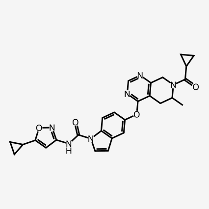 CC1Cc2c(ncnc2Oc2ccc3c(ccn3C(=O)Nc3cc(C4CC4)on3)c2)CN1C(=O)C1CC1